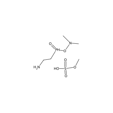 CN(C)O[PH](=O)CCN.COS(=O)(=O)O